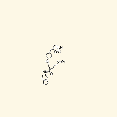 CCCSCCCN(CCOc1ccc(CC(OCC)C(=O)O)cc1)C(=O)Nc1ccc2c(c1)CCC2